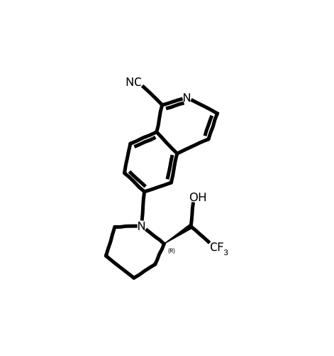 N#Cc1nccc2cc(N3CCCC[C@@H]3C(O)C(F)(F)F)ccc12